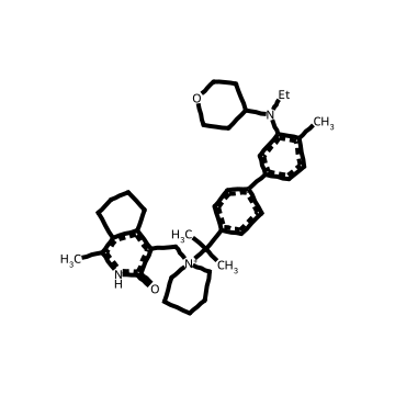 CCN(c1cc(-c2ccc(C(C)(C)[N+]3(Cc4c5c(c(C)[nH]c4=O)CCCC5)CCCCC3)cc2)ccc1C)C1CCOCC1